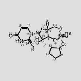 C[C@@]1(O)C2OP(=O)(OC3CCCC3)OC[C@H]2O[C@H]1n1ccc(=O)[nH]c1=S